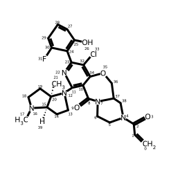 C=CC(=O)N1CCN2C(=O)c3c(N4CC[C@H]5N(C)CC[C@]54C)nc(-c4c(O)cccc4F)c(Cl)c3OCC2C1